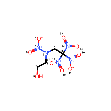 O=[N+]([O-])N(CCO)CC([N+](=O)[O-])([N+](=O)[O-])[N+](=O)[O-]